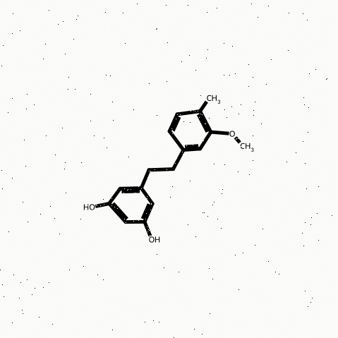 COc1cc(CCc2cc(O)cc(O)c2)ccc1C